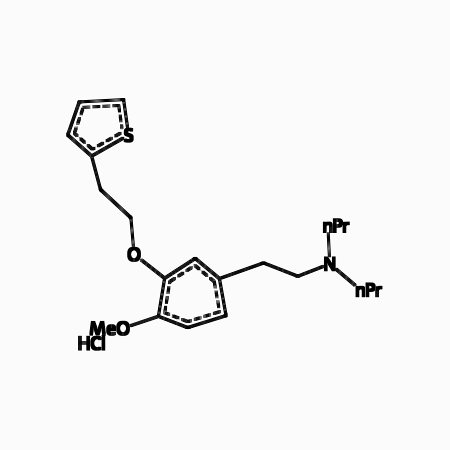 CCCN(CCC)CCc1ccc(OC)c(OCCc2cccs2)c1.Cl